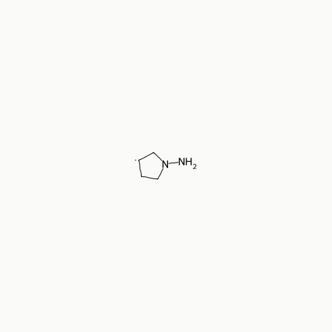 NN1C[CH]CC1